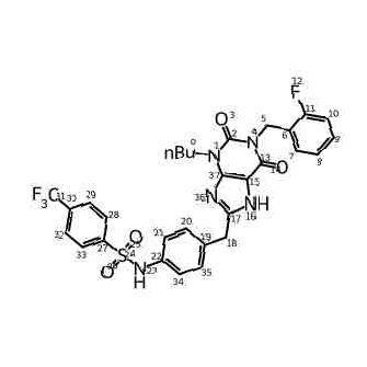 CCCCn1c(=O)n(Cc2ccccc2F)c(=O)c2[nH]c(Cc3ccc(NS(=O)(=O)c4ccc(C(F)(F)F)cc4)cc3)nc21